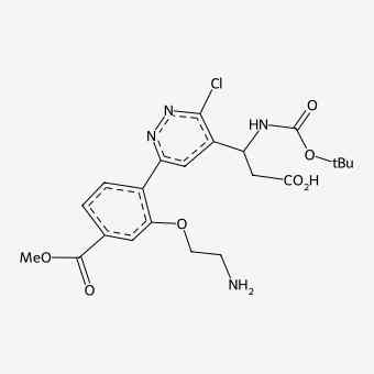 COC(=O)c1ccc(-c2cc(C(CC(=O)O)NC(=O)OC(C)(C)C)c(Cl)nn2)c(OCCN)c1